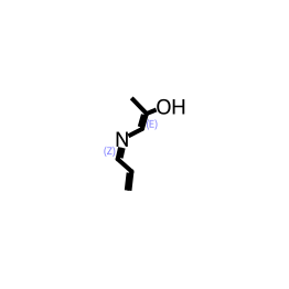 C=C/C=N\C=C(/C)O